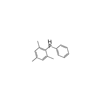 Cc1cc(C)c(Pc2ccccc2)c(C)c1